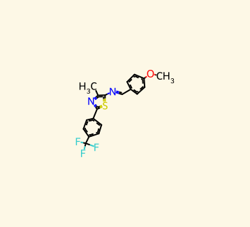 COc1ccc(/C=N/c2sc(-c3ccc(C(F)(F)F)cc3)nc2C)cc1